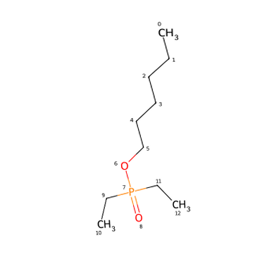 CCCCCCOP(=O)(CC)CC